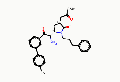 COC(=O)C[C@@H]1C[C@@H](C(N)C(=O)c2cccc(-c3ccc(C#N)cc3)c2)N(CCCc2ccccc2)C1=O